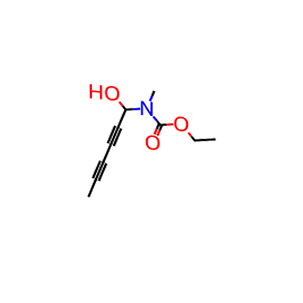 CC#CC#CC(O)N(C)C(=O)OCC